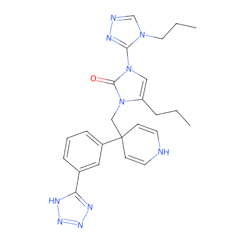 CCCc1cn(-c2nncn2CCC)c(=O)n1CC1(c2cccc(-c3nnn[nH]3)c2)C=CNC=C1